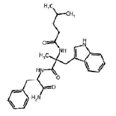 CC(C)CCC(=O)NC(C)(Cc1c[nH]c2ccccc12)C(=O)N[C@@H](Cc1ccccc1)C(N)=O